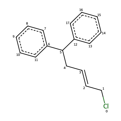 ClCC=CCC(c1ccccc1)c1ccccc1